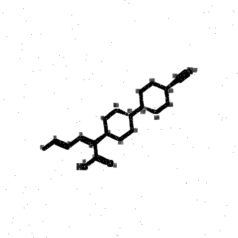 CC=CC=C(C(=O)O)[C@H]1CC[C@H]([C@H]2CC[C@H](C#N)CC2)CC1